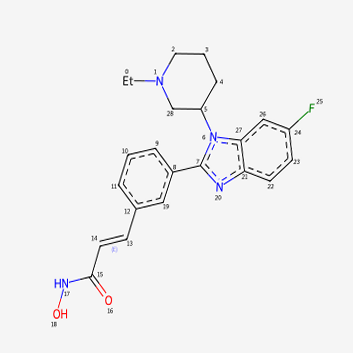 CCN1CCCC(n2c(-c3cccc(/C=C/C(=O)NO)c3)nc3ccc(F)cc32)C1